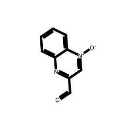 O=[C]c1c[n+]([O-])c2ccccc2n1